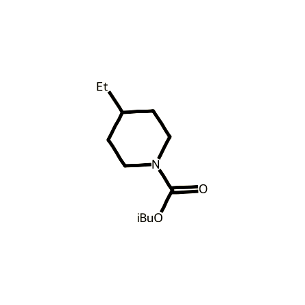 CCC1CCN(C(=O)OCC(C)C)CC1